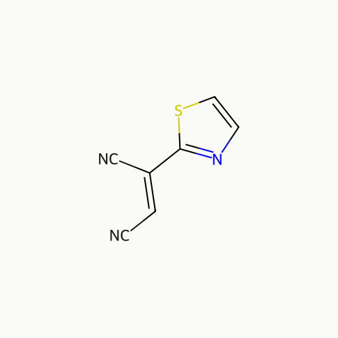 N#CC=C(C#N)c1nccs1